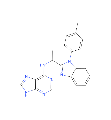 Cc1ccc(-n2c(C(C)Nc3ncnc4[nH]cnc34)nc3ccccc32)cc1